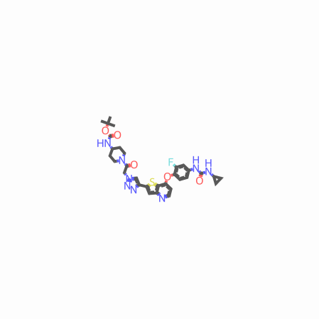 CC(C)(C)OC(=O)NC1CCN(C(=O)Cn2cc(-c3cc4nccc(Oc5ccc(NC(=O)NC6CC6)cc5F)c4s3)nn2)CC1